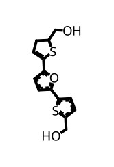 OCc1ccc(-c2ccc(C3=CCC(CO)S3)o2)s1